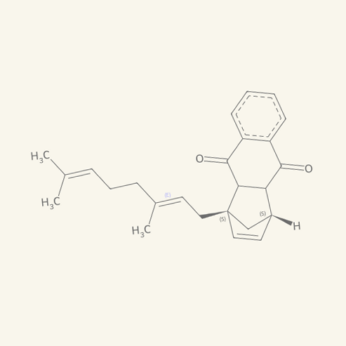 CC(C)=CCC/C(C)=C/C[C@]12C=C[C@H](C1)C1C(=O)c3ccccc3C(=O)C12